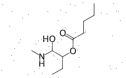 CCCCC(=O)OC(CC)C(O)NC